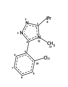 [CH2]C(C)c1nnc(-c2ccccc2Cl)n1C